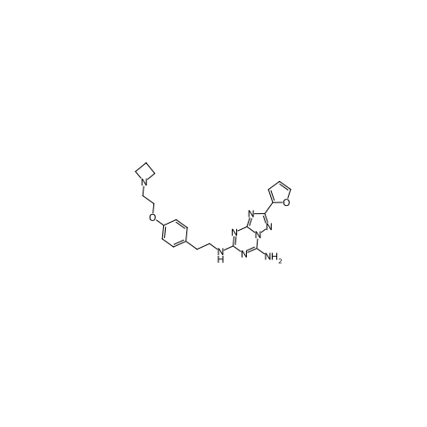 Nc1nc(NCCc2ccc(OCCN3CCC3)cc2)nc2nc(-c3ccco3)nn12